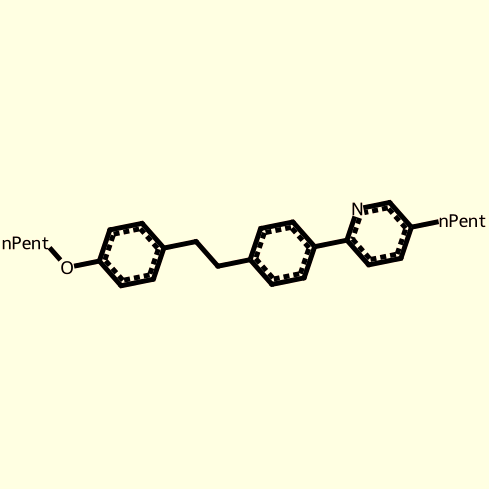 CCCCCOc1ccc(CCc2ccc(-c3ccc(CCCCC)cn3)cc2)cc1